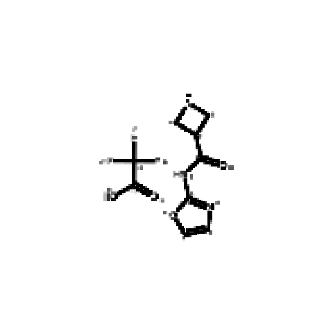 O=C(Nc1ncco1)C1CNC1.O=C(O)C(F)(F)F